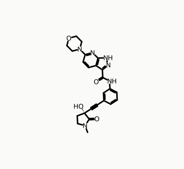 CN1CC[C@@](O)(C#Cc2cccc(NC(=O)c3n[nH]c4nc(N5CCOCC5)ccc34)c2)C1=O